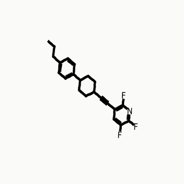 CCCc1ccc(C2CCC(C#Cc3cc(F)c(F)nc3F)CC2)cc1